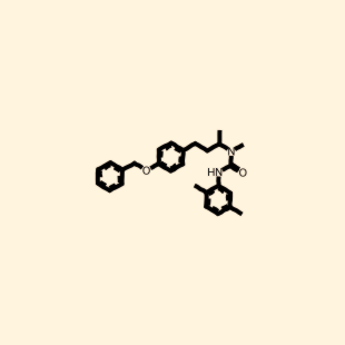 Cc1ccc(C)c(NC(=O)N(C)C(C)CCc2ccc(OCc3ccccc3)cc2)c1